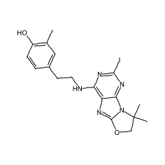 Cc1cc(CCNc2nc(I)nc3c2nc2n3C(C)(C)CO2)ccc1O